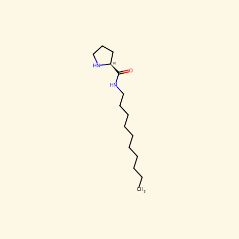 CCCCCCCCCCNC(=O)[C@@H]1CCCN1